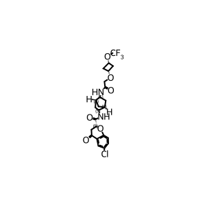 O=C(CO[C@H]1C[C@@H](OC(F)(F)F)C1)N[C@H]1C[C@H]2C[C@@H]1C[C@@H]2NC(=O)[C@H]1CC(=O)c2cc(Cl)ccc2O1